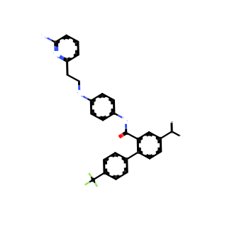 CC(C)c1ccc(-c2ccc(C(F)(F)F)cc2)c(C(=O)Nc2ccc(NCCc3cccc(N)n3)cc2)c1